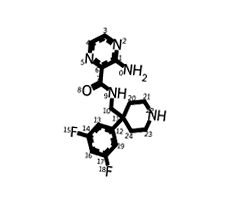 Nc1nccnc1C(=O)NCC1(c2cc(F)cc(F)c2)CCNCC1